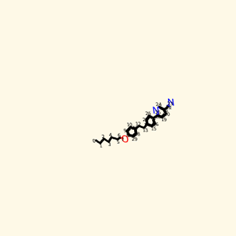 CCCCCCCOc1ccc(CCc2ccc(-c3ccc(C#N)cn3)cc2)cc1